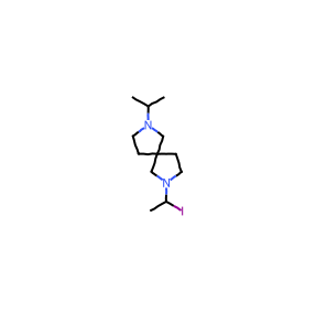 CC(C)N1CCC2(CCN(C(C)I)C2)C1